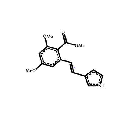 COC(=O)c1c(/C=C/c2cc[nH]c2)cc(OC)cc1OC